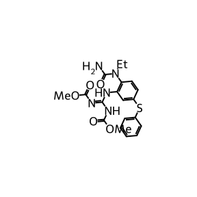 CCN(C(N)=O)c1ccc(Sc2ccccc2)cc1NC(=NC(=O)OC)NC(=O)OC